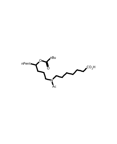 CCCCCC(CCCN(CCCCCCC(=O)O)C(C)=O)OC(=O)CCCC